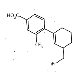 CC(C)CC1C=C(c2ccc(C(=O)O)cc2C(F)(F)F)CCC1